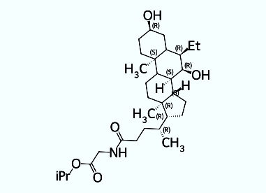 CC[C@@H]1C2C[C@H](O)CC[C@]2(C)C2CC[C@]3(C)[C@@H]([C@H](C)CCC(=O)NCC(=O)OC(C)C)CC[C@H]3[C@@H]2[C@@H]1O